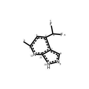 Cc1cc(C(F)F)c2cn[nH]c2n1